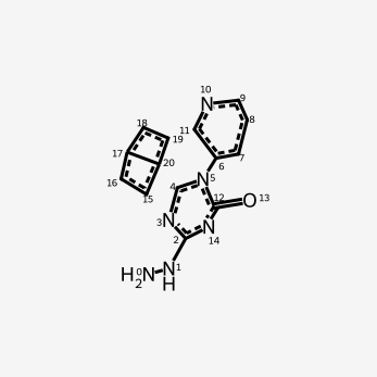 NNc1ncn(-c2cccnc2)c(=O)n1.c1cc2ccc1-2